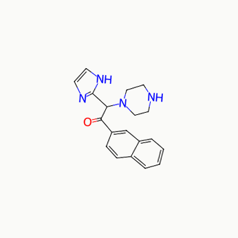 O=C(c1ccc2ccccc2c1)C(c1ncc[nH]1)N1CCNCC1